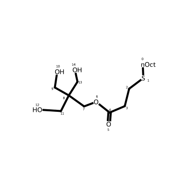 CCCCCCCCSCCC(=O)OCC(CO)(CO)CO